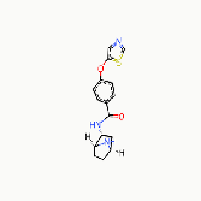 O=C(N[C@@H]1C[C@H]2CC[C@@H]1N2)c1ccc(Oc2cncs2)cc1